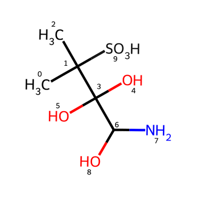 CC(C)(C(O)(O)C(N)O)S(=O)(=O)O